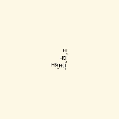 Br.Cl.Cl.I